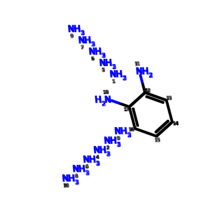 N.N.N.N.N.N.N.N.N.N.N.Nc1ccccc1N